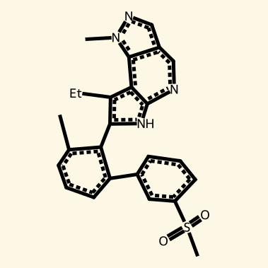 CCc1c(-c2c(C)cccc2-c2cccc(S(C)(=O)=O)c2)[nH]c2ncc3cnn(C)c3c12